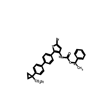 CCOC(=O)C1(c2ccc(-c3ccc(-c4sc(Br)cc4NC(=O)O[C@H](C)c4ccccc4)cc3)cc2)CC1